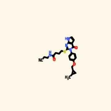 CC1CC1COc1ccc(-n2c(SCCCC(=O)NCCC#N)nc3[nH]ccc3c2=O)cc1